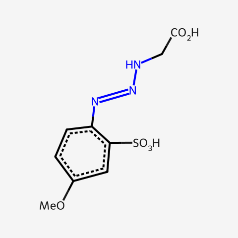 COc1ccc(N=NNCC(=O)O)c(S(=O)(=O)O)c1